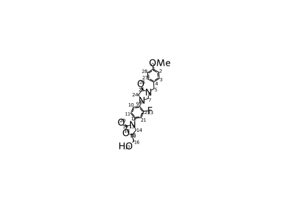 COc1ccc(CN2CN(c3ccc(N4C[C@@H](CO)OC4=O)cc3F)CC2=O)cc1